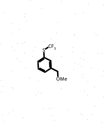 COCc1cccc(SC(F)(F)F)c1